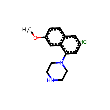 COc1ccc2cccc(N3CCNCC3)c2c1.Cl